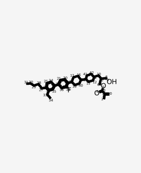 C=C(C)C(=O)OCC(CO)CC1CCC(C2CCC(c3ccc(-c4ccc(CCCCC)c(CC)c4)cc3F)CC2)CC1